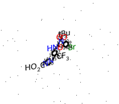 CC(C)(C)OC(=O)N(CC(=O)Nc1ccc(CN2CCN(C(=O)O)CC2)c(C(F)(F)F)c1)c1ccc(Br)cc1